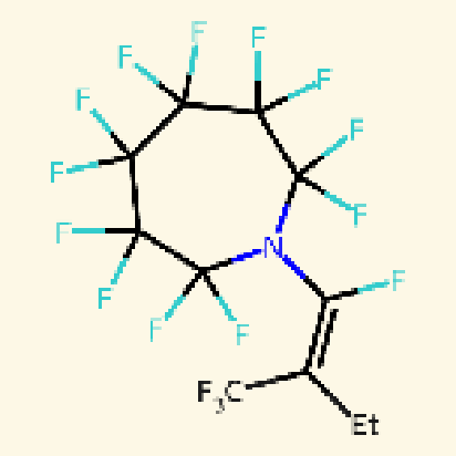 CCC(=C(F)N1C(F)(F)C(F)(F)C(F)(F)C(F)(F)C(F)(F)C1(F)F)C(F)(F)F